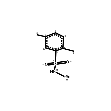 Cc1ccc(C)c(S(=O)(=O)NC(C)(C)C)c1